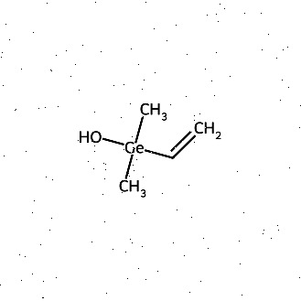 C=[CH][Ge]([CH3])([CH3])[OH]